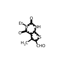 CCn1c(=O)[nH]c2sc(C=O)c(C)c2c1=O